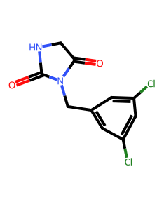 O=C1CNC(=O)N1Cc1cc(Cl)cc(Cl)c1